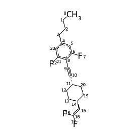 CCCCc1cc(F)c(C#C[C@H]2CC[C@H](C=C(F)F)CC2)c(F)c1